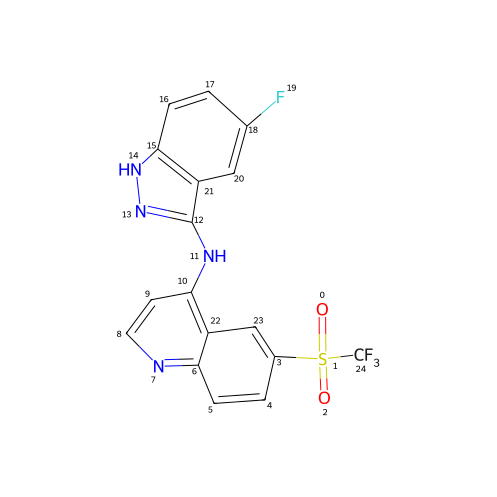 O=S(=O)(c1ccc2nccc(Nc3n[nH]c4ccc(F)cc34)c2c1)C(F)(F)F